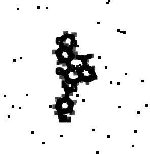 CN(C)c1cccc(-c2oc(-c3ccc(C(C)(C)C)cc3)nc2C(=O)Nc2ccc3c(c2)OCCO3)c1